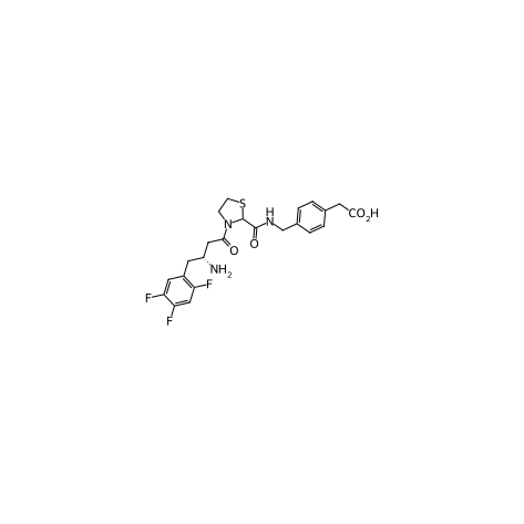 N[C@@H](CC(=O)N1CCSC1C(=O)NCc1ccc(CC(=O)O)cc1)Cc1cc(F)c(F)cc1F